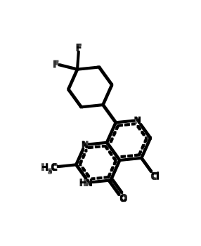 Cc1nc2c(C3CCC(F)(F)CC3)ncc(Cl)c2c(=O)[nH]1